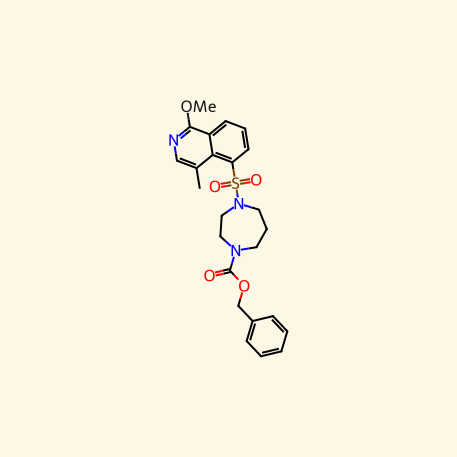 COc1ncc(C)c2c(S(=O)(=O)N3CCCN(C(=O)OCc4ccccc4)CC3)cccc12